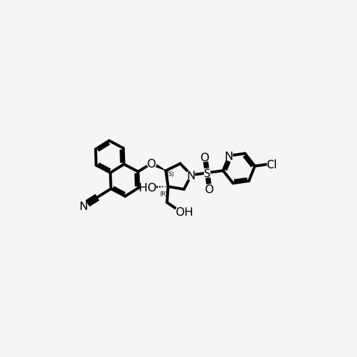 N#Cc1ccc(O[C@H]2CN(S(=O)(=O)c3ccc(Cl)cn3)C[C@@]2(O)CO)c2ccccc12